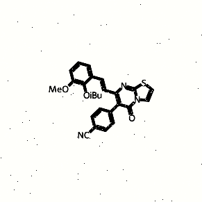 COc1cccc(C=Cc2nc3sccn3c(=O)c2-c2ccc(C#N)cc2)c1OCC(C)C